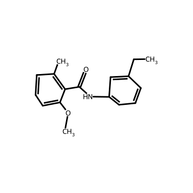 CCc1cccc(NC(=O)c2c(C)cccc2OC)c1